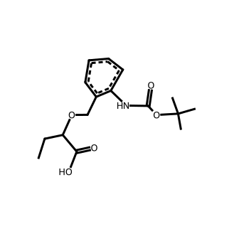 CCC(OCc1ccccc1NC(=O)OC(C)(C)C)C(=O)O